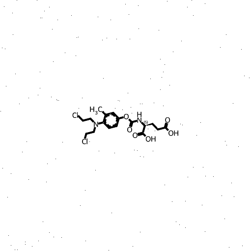 Cc1cc(OC(=O)N[C@@H](CCC(=O)O)C(=O)O)ccc1N(CCCl)CCCl